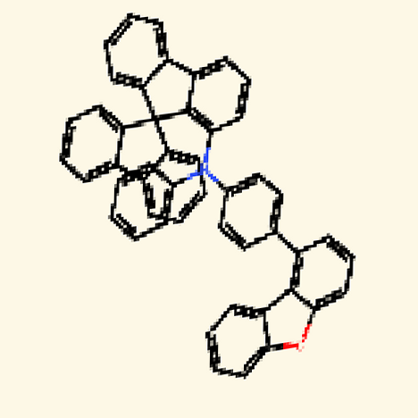 c1ccc(N(c2ccc(-c3cccc4oc5ccccc5c34)cc2)c2cccc3c2C2(c4ccccc4-c4ccccc42)c2ccccc2-3)cc1